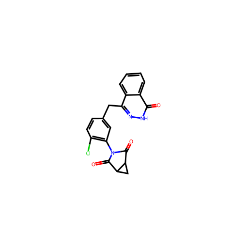 O=C1C2CC2C(=O)N1c1cc(Cc2n[nH]c(=O)c3ccccc23)ccc1Cl